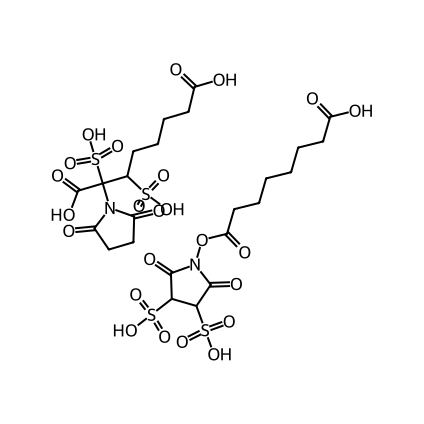 O=C(O)CCCCC(C(C(=O)O)(N1C(=O)CCC1=O)S(=O)(=O)O)S(=O)(=O)O.O=C(O)CCCCCCC(=O)ON1C(=O)C(S(=O)(=O)O)C(S(=O)(=O)O)C1=O